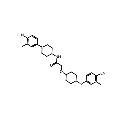 Cc1cc(NC2CCC(OCC(=O)NC3CCN(c4ccc([N+](=O)[O-])c(C)c4)CC3)CC2)ccc1C#N